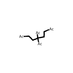 CC(=O)CCC(CCC(C)=O)(C(C)=O)C(C)=O